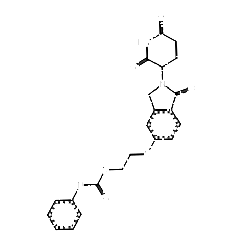 O=C1CCC(N2Cc3cc(NCCNC(=O)Nc4ccccc4)ccc3C2=O)C(=O)N1